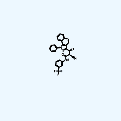 N#CC(C(=O)Nc1cccc(C(F)(F)F)c1)C(=O)c1nn(-c2ccccc2)c2c1CSc1ccccc1-2